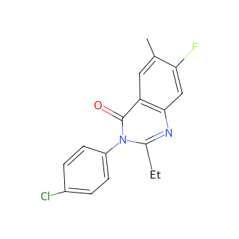 CCc1nc2cc(F)c(C)cc2c(=O)n1-c1ccc(Cl)cc1